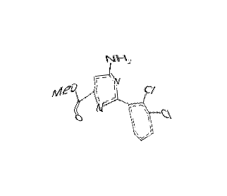 COC(=O)c1cc(N)nc(-c2cccc(Cl)c2Cl)n1